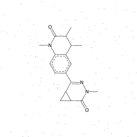 CC1C(=O)N(C)c2ccc(C3=NN(C)C(=O)C4CC34)cc2C1C